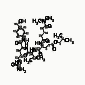 CC(C)COC(=O)CC[C@H](NC(=O)CCCC(=O)N(C)C)C(=O)N[C@H](C(=O)N[C@@H](CCCNC(N)=O)C(=O)Nc1ccc(CO)cc1)C(C)C